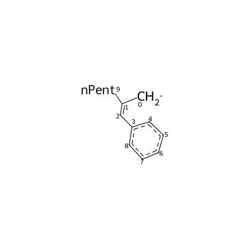 [CH2]/C(=C\c1ccccc1)CCCCC